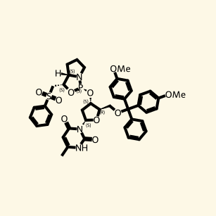 COc1ccc(C(OC[C@H]2O[C@H](n3c(=O)cc(C)[nH]c3=O)C[C@@H]2O[P@]2O[C@H](CS(=O)(=O)c3ccccc3)[C@@H]3CCCN32)(c2ccccc2)c2ccc(OC)cc2)cc1